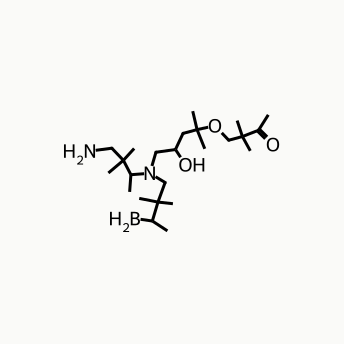 BC(C)C(C)(C)CN(CC(O)CC(C)(C)OCC(C)(C)C(C)=O)C(C)C(C)(C)CN